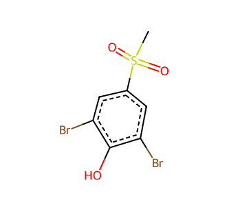 CS(=O)(=O)c1cc(Br)c(O)c(Br)c1